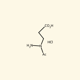 CC(=O)N(N)CCC(=O)O.Cl